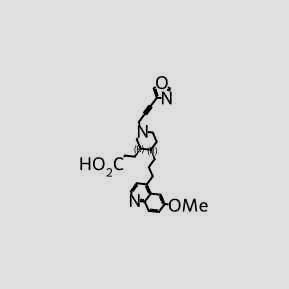 COc1ccc2nccc(CCC[C@@H]3CCN(CC#Cc4cocn4)C[C@@H]3CCC(=O)O)c2c1